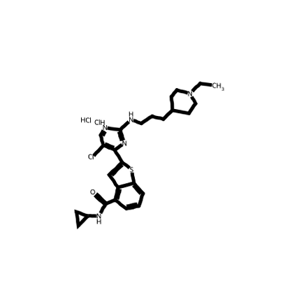 CCN1CCC(CCCNc2ncc(Cl)c(-c3cc4c(C(=O)NC5CC5)cccc4s3)n2)CC1.Cl.Cl